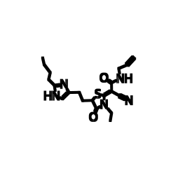 C#CCNC(=O)/C(C#N)=C1\SC(CCc2c[nH]c(CCCC)n2)C(=O)N1CC